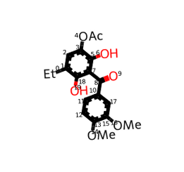 CCc1cc(OC(C)=O)c(O)c(C(=O)c2ccc(OC)c(OC)c2)c1O